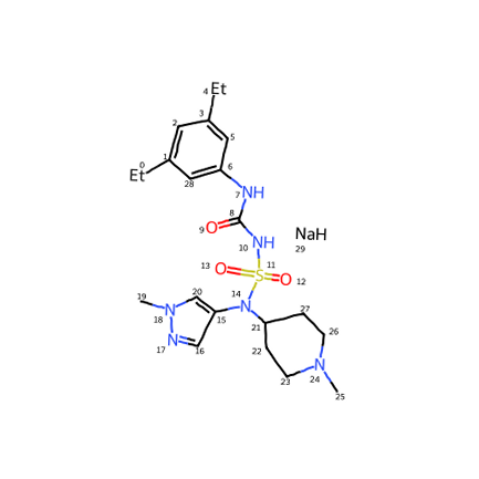 CCc1cc(CC)cc(NC(=O)NS(=O)(=O)N(c2cnn(C)c2)C2CCN(C)CC2)c1.[NaH]